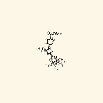 COC(=O)c1ccc(-n2nc(B3OC(C)(C)C(C)(C)O3)cc2C)cc1